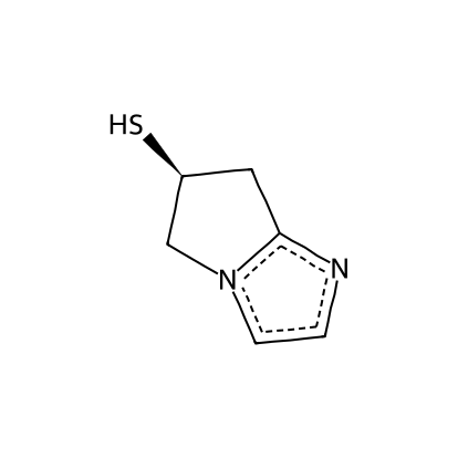 S[C@H]1Cc2nccn2C1